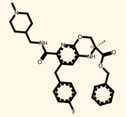 CN1CCC(CNC(=O)c2nc3c(cc2Cc2ccc(F)cc2)N[C@](C)(C(=O)OCc2ccccc2)CO3)CC1